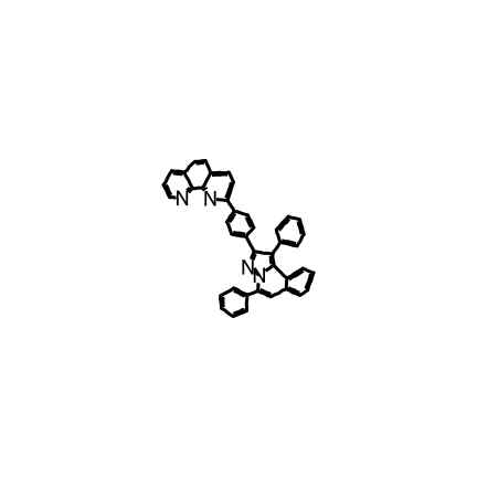 c1ccc(-c2c(-c3ccc(-c4ccc5ccc6cccnc6c5n4)cc3)nn3c(-c4ccccc4)cc4ccccc4c23)cc1